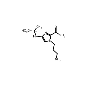 C[C@H](Nc1cn(CCCN)c(C(N)=O)n1)C(=O)O